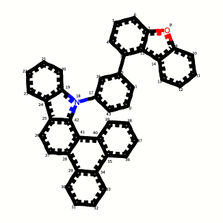 c1cc(-c2cccc3oc4ccccc4c23)cc(-n2c3ccccc3c3ccc4c5ccccc5c5ccccc5c4c32)c1